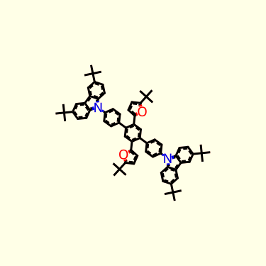 CC(C)(C)c1ccc2c(c1)c1cc(C(C)(C)C)ccc1n2-c1ccc(-c2cc(-c3ccc(C(C)(C)C)o3)c(-c3ccc(-n4c5ccc(C(C)(C)C)cc5c5cc(C(C)(C)C)ccc54)cc3)cc2-c2ccc(C(C)(C)C)o2)cc1